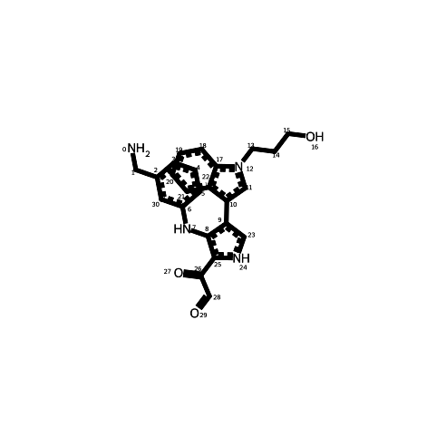 NCc1cccc(Nc2c(-c3cn(CCCO)c4ccccc34)c[nH]c2C(=O)C=O)c1